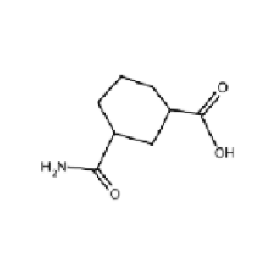 NC(=O)C1CCCC(C(=O)O)C1